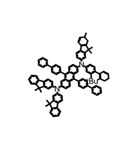 Cc1cc(N(c2ccc3c(c2)C(C)(C)C2=C3C=CC(C)C2)c2ccc3c(-c4ccc(-c5ccccc5)cc4)c4cc(N(c5ccc6c(c5)C(C)(C)c5ccccc5-6)c5ccc6c(c5)C(C)(C)c5ccccc5-6)ccc4c(-c4ccc(-c5ccccc5)cc4)c3c2)ccc1C1=C(C(C)(C)C)CCC=C1